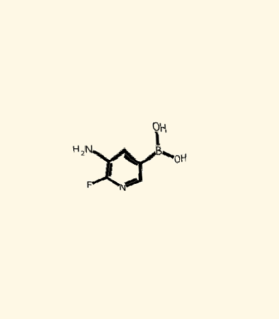 Nc1cc(B(O)O)cnc1F